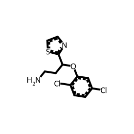 NCCC(Oc1cc(Cl)ccc1Cl)c1nccs1